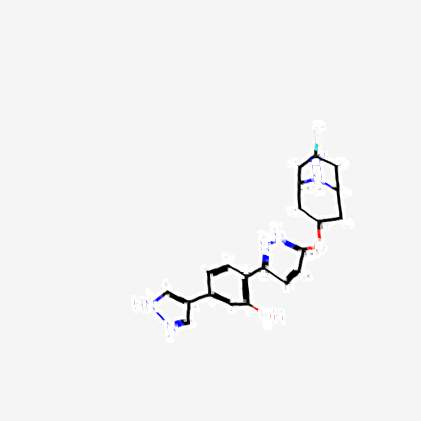 Oc1cc(-c2cn[nH]c2)ccc1-c1ccc(OC2CC3CC(F)CC(C2)N3)nn1